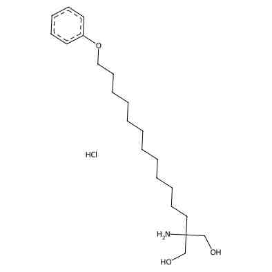 Cl.NC(CO)(CO)CCCCCCCCCCCCOc1ccccc1